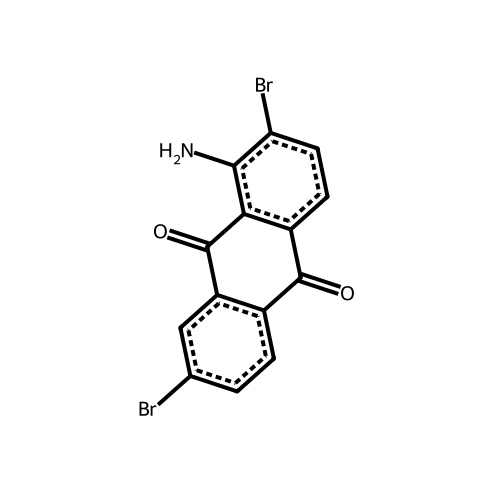 Nc1c(Br)ccc2c1C(=O)c1cc(Br)ccc1C2=O